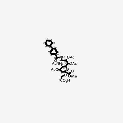 COC(=O)[C@@]1(OCC(=O)O)C[C@@H](OC(C)=O)[C@@H](NC(C)=O)C([C@H](OC(C)=O)[C@@H](CNC(=O)c2ccc(-c3ccccc3)cc2)OC(C)=O)O1